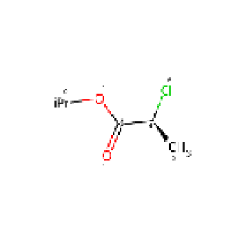 CC(C)OC(=O)[C@H](C)Cl